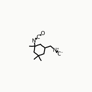 [C-]#[N+]CC1CC(C)(C)CC(C)(N=C=O)C1